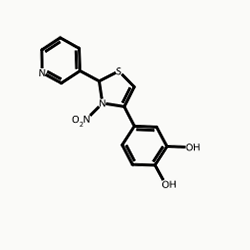 O=[N+]([O-])N1C(c2ccc(O)c(O)c2)=CSC1c1cccnc1